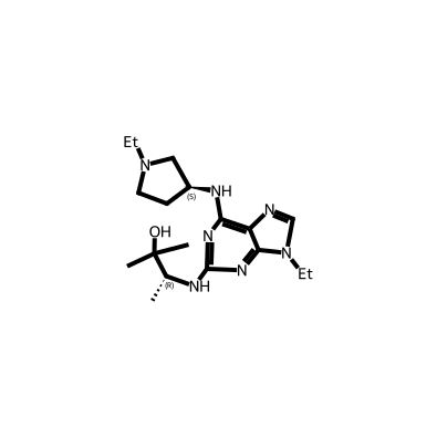 CCN1CC[C@H](Nc2nc(N[C@H](C)C(C)(C)O)nc3c2ncn3CC)C1